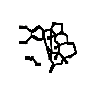 COc1cc2c(cc1OC)[C@@]13CCN4CC5=CCO[C@H]6CC(=O)N2[C@H]1[C@H]6[C@H]5C[C@H]43.O=S(=O)(O)O